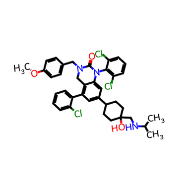 COc1ccc(CN2Cc3c(-c4ccccc4Cl)cc(C4CCC(O)(CNC(C)C)CC4)cc3N(c3c(Cl)cccc3Cl)C2=O)cc1